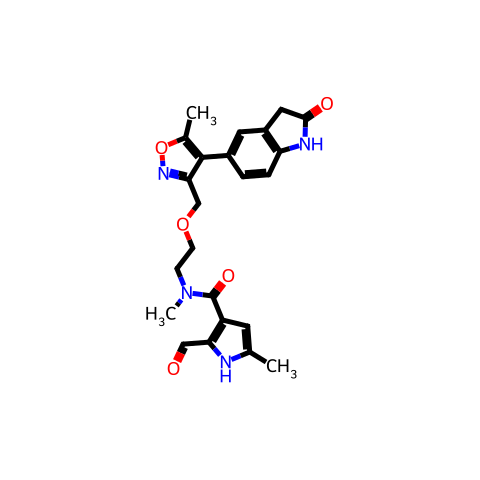 Cc1cc(C(=O)N(C)CCOCc2noc(C)c2-c2ccc3c(c2)CC(=O)N3)c(C=O)[nH]1